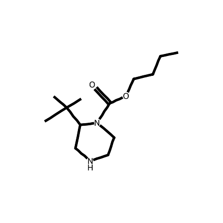 CCCCOC(=O)N1CCNCC1C(C)(C)C